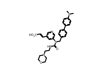 CN(C)c1ccc(-c2ccc(CN(C(=O)NCCN3CCOCC3)c3cncc(C=CC(=O)O)c3)cc2)cc1